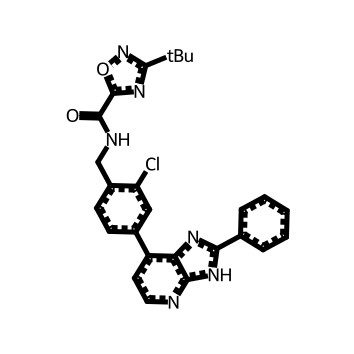 CC(C)(C)c1noc(C(=O)NCc2ccc(-c3ccnc4[nH]c(-c5ccccc5)nc34)cc2Cl)n1